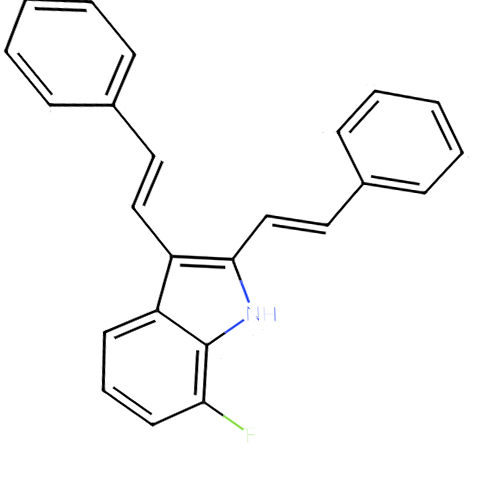 Fc1cccc2c(/C=C/c3ccccc3)c(/C=C/c3ccccc3)[nH]c12